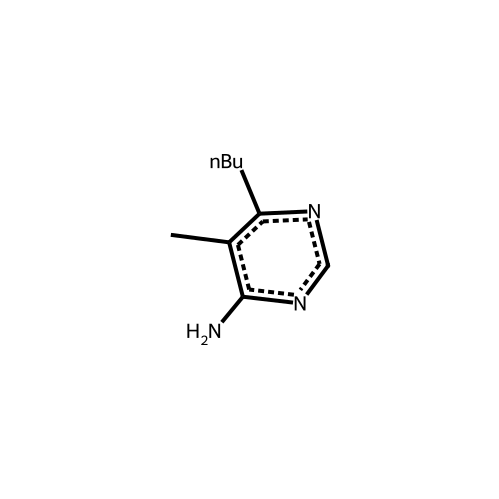 CCCCc1ncnc(N)c1C